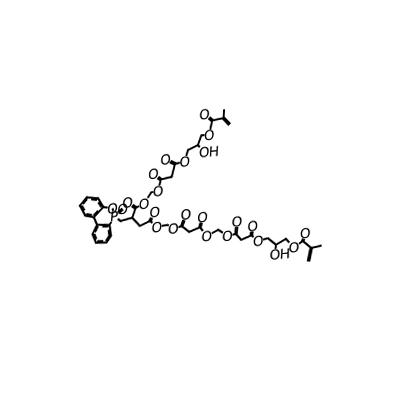 C=C(C)C(=O)OCC(O)COC(=O)CC(=O)OCOC(=O)CC(=O)OCOC(=O)CC(CP1(=O)Oc2ccccc2-c2ccccc21)C(=O)OCOC(=O)CC(=O)OCC(O)COC(=O)C(=C)C